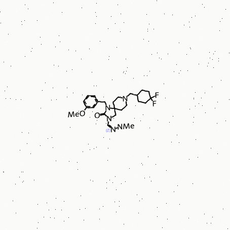 CN/N=C\N1CC2(CCN(CC3CCC(F)(F)CC3)CC2)N(Cc2cccc(OC)c2)C1=O